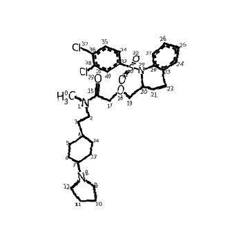 CN(CCC1CCC(N2CCCC2)CC1)C(=O)COCC1CCc2ccccc2N1S(=O)(=O)c1ccc(Cl)c(Cl)c1